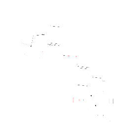 CCc1c(C(O)(O)C(O)(O)C(=O)O)ccc(OCc2cc(F)cc3c2OC(C)(C)C3)c1F